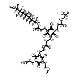 COCCn1c(=O)n(CCO)c(=O)n(CCOC(=O)CCn2c(=O)n(CCC(=O)OCC(C)O)c(=O)n(CCC(=O)OC(F)(F)C(F)(F)C(F)(F)C(F)(F)C(F)(F)C(F)(F)C(F)(F)OC)c2=O)c1=O